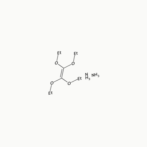 CCOC(OCC)=C(OCC)OCC.N.N